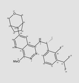 COc1nnc(N[C@H](C)c2cccc(C(F)F)c2F)c2cc(N3C4CCC3COC4)cnc12